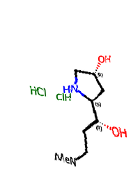 CNCC[C@@H](O)[C@@H]1C[C@@H](O)CN1.Cl.Cl